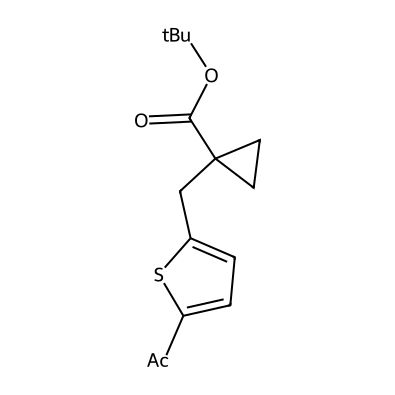 CC(=O)c1ccc(CC2(C(=O)OC(C)(C)C)CC2)s1